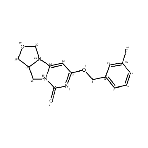 O=c1nc(OCc2cccc(F)c2)cc2n1CC1COCN21